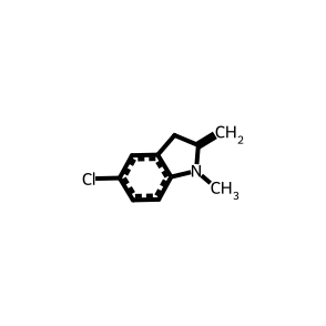 C=C1Cc2cc(Cl)ccc2N1C